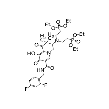 CCOP(=O)(CCN(CCP(=O)(OCC)OCC)C1Cn2cc(C(=O)NCc3ccc(F)cc3F)c(=O)c(O)c2C(=O)C1(C)C)OCC